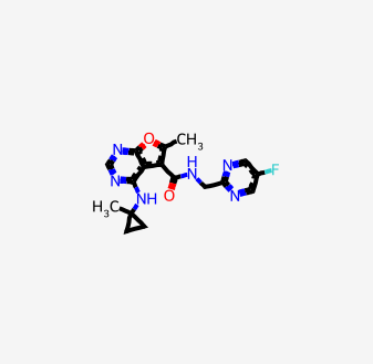 Cc1oc2ncnc(NC3(C)CC3)c2c1C(=O)NCc1ncc(F)cn1